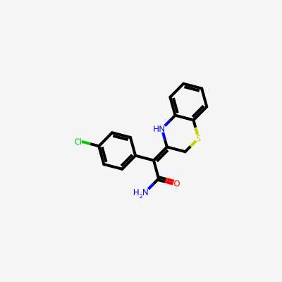 NC(=O)C(=C1CSc2ccccc2N1)c1ccc(Cl)cc1